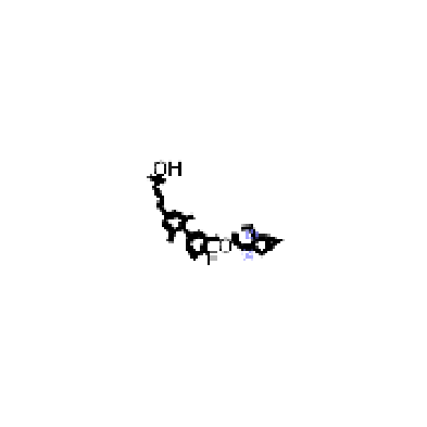 C=C(/C=C1/CC2CC2/C1=C/C)OCc1cc(-c2c(C)cc(CCCC(C)(C)O)cc2C)ccc1F